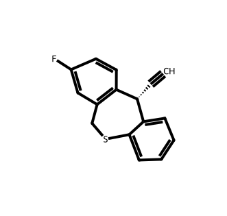 C#C[C@H]1c2ccc(F)cc2CSc2ccccc21